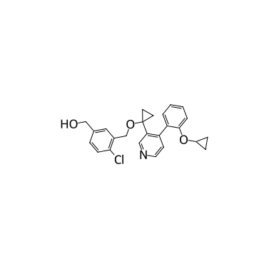 OCc1ccc(Cl)c(COC2(c3cnccc3-c3ccccc3OC3CC3)CC2)c1